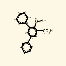 O=C(O)c1cc(-c2ccccc2)cc(-c2ccccc2)c1OI